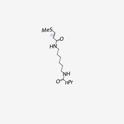 CCCC(=O)NCCCCCCNC(=O)/C=C/SC